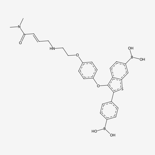 CN(C)C(=O)/C=C/CNCCOc1ccc(Oc2c(-c3ccc(B(O)O)cc3)sc3cc(B(O)O)ccc23)cc1